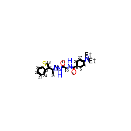 CCN(CC)c1ccc(C(=O)NCC(=O)N/N=C(\C)c2csc3ccccc23)cc1